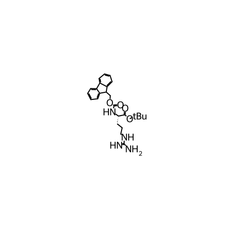 CC(C)(C)OC(=O)[C@H](CCCNC(=N)N)NC(=O)OCC1c2ccccc2-c2ccccc21